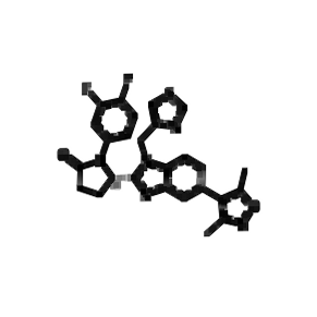 Cc1noc(C)c1-c1ccc2c(c1)nc([C@@H]1CCC(=O)N1c1ccc(F)c(F)c1)n2Cc1cscn1